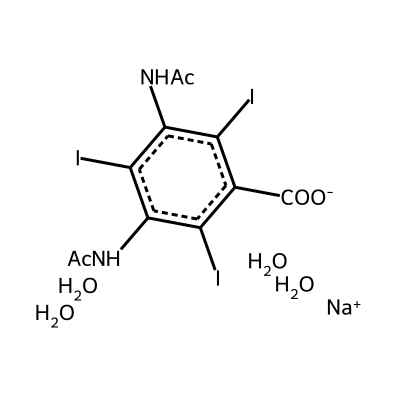 CC(=O)Nc1c(I)c(NC(C)=O)c(I)c(C(=O)[O-])c1I.O.O.O.O.[Na+]